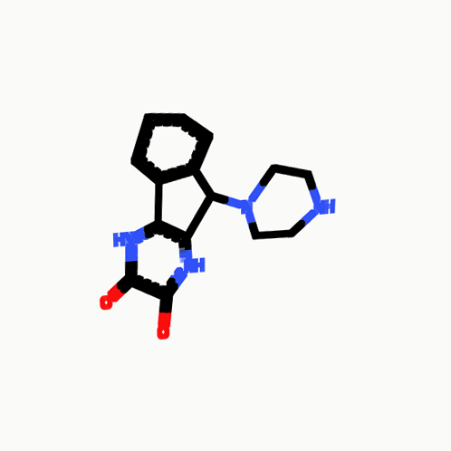 O=c1[nH]c2c([nH]c1=O)C(N1CCNCC1)c1ccccc1-2